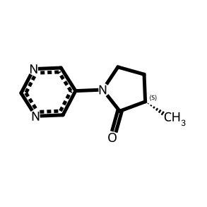 C[C@H]1CCN(c2cncnc2)C1=O